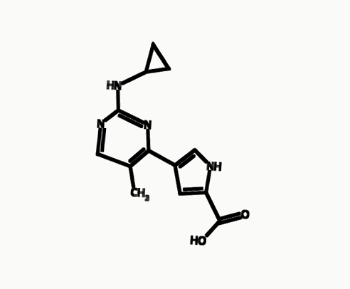 Cc1cnc(NC2CC2)nc1-c1c[nH]c(C(=O)O)c1